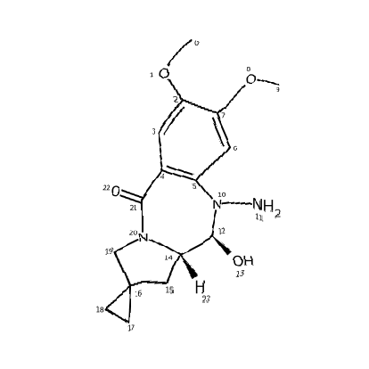 COc1cc2c(cc1OC)N(N)[C@@H](O)[C@@H]1CC3(CC3)CN1C2=O